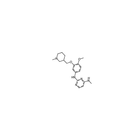 CNc1ccnc(Nc2ccc(OC)c(OCC3CCCN(C)C3)c2)n1